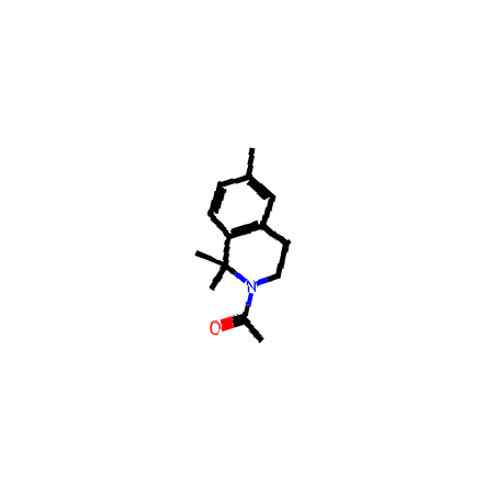 CC(=O)N1CCc2cc(C)ccc2C1(C)C